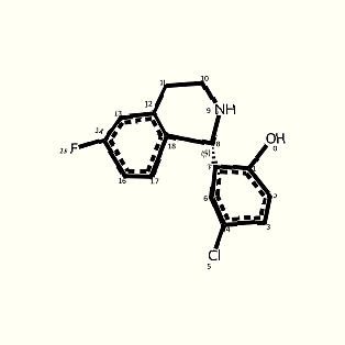 Oc1ccc(Cl)cc1[C@H]1NCCc2cc(F)ccc21